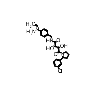 C=CN(N)c1ccc(CNC(=O)[C@H](O)[C@@H](O)C(=O)N2CCCC2c2cccc(Cl)c2)cc1